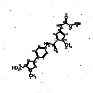 Cn1cc(-c2ccc(NC(=O)c3cc(NC(=O)OC(C)(C)C)cn3C)cc2)cc1C(=O)O